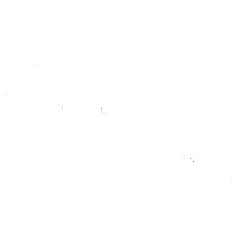 O=C1OCCC1N1CCN(SCCCSNSC(F)(F)F)CC1